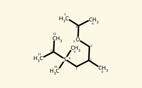 CC(COC(C)C)CS(C)(C)C(C)C